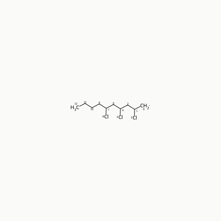 [CH2]C(Cl)CC(Cl)CC(Cl)CCCC